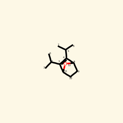 CC(C)C1=C(C(C)C)C2CCC1O2